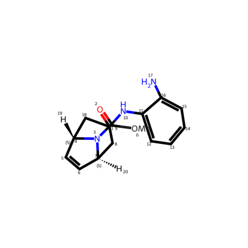 COC(=O)N1[C@@H]2C=C[C@@H]1CC(Nc1ccccc1N)C2